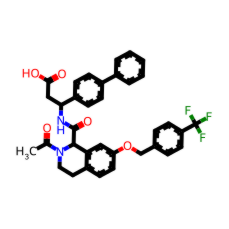 CC(=O)N1CCc2ccc(OCc3ccc(C(F)(F)F)cc3)cc2C1C(=O)NC(CC(=O)O)c1ccc(-c2ccccc2)cc1